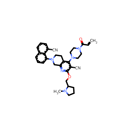 C=CC(=O)N1CCN(c2c(C#N)c(OCC3CCCN3C)nc3c2CCN(c2cccc4cccc(C#N)c24)C3)CC1